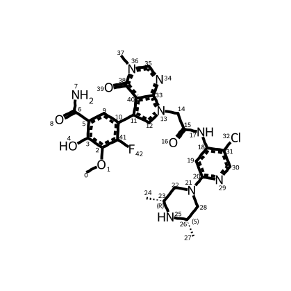 COc1c(O)c(C(N)=O)cc(-c2cn(CC(=O)Nc3cc(N4C[C@@H](C)N[C@@H](C)C4)ncc3Cl)c3ncn(C)c(=O)c23)c1F